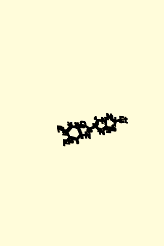 CCc1nn2cc(-c3nc4cc(F)c(F)cc4o3)nc2s1